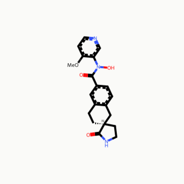 COc1ccncc1N(O)C(=O)c1ccc2c(c1)CC[C@@]1(CCNC1=O)C2